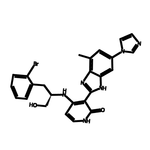 Cc1cc(-n2ccnc2)cc2[nH]c(-c3c(N[C@H](CO)Cc4ccccc4Br)cc[nH]c3=O)nc12